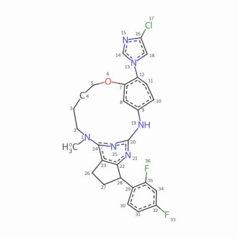 CN1CCCCOc2cc(ccc2-n2cnc(Cl)c2)Nc2nc3c(c1n2)CCC3c1ccc(F)cc1F